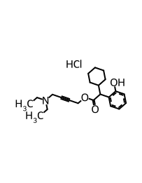 CCN(CC)CC#CCOC(=O)C(c1ccccc1O)C1CCCCC1.Cl